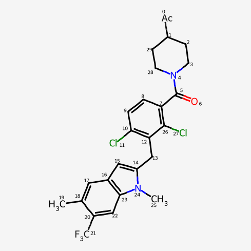 CC(=O)C1CCN(C(=O)c2ccc(Cl)c(Cc3cc4cc(C)c(C(F)(F)F)cc4n3C)c2Cl)CC1